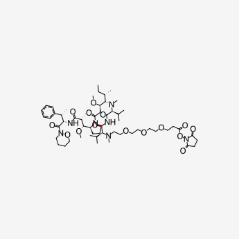 CC[C@H](C)[C@@H]([C@@H](CC(=O)N1CCC[C@H]1[C@H](OC)[C@@H](C)C(=O)N[C@H](C(=O)N1CCCCO1)[C@@H](C)c1ccccc1)OC)N(C)[C@H](C(=O)NC(=O)[C@H](C(C)C)N(C)CCOCCOCCOCCC(=O)ON1C(=O)CCC1=O)C(C)C